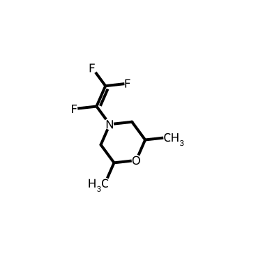 CC1CN(C(F)=C(F)F)CC(C)O1